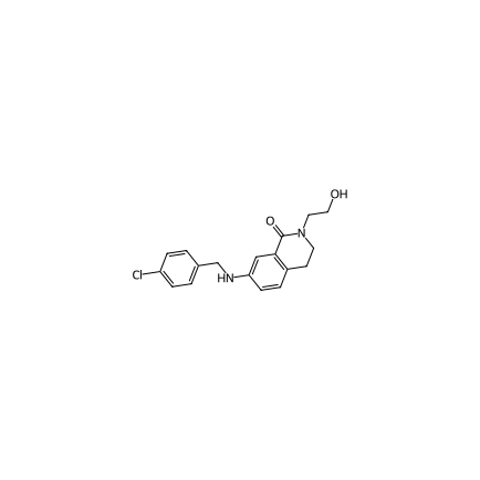 O=C1c2cc(NCc3ccc(Cl)cc3)ccc2CCN1CCO